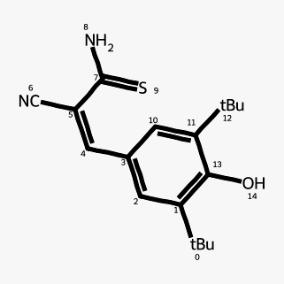 CC(C)(C)c1cc(C=C(C#N)C(N)=S)cc(C(C)(C)C)c1O